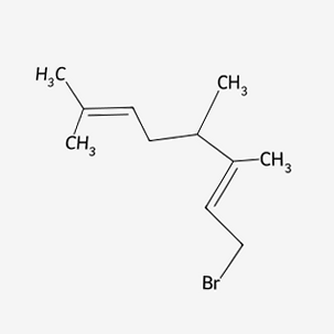 CC(C)=CCC(C)/C(C)=C/CBr